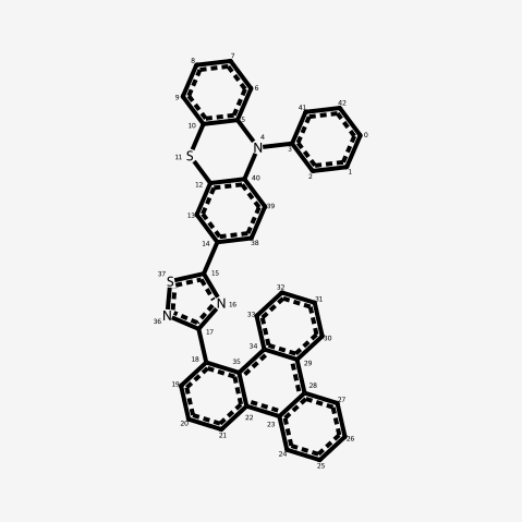 c1ccc(N2c3ccccc3Sc3cc(-c4nc(-c5cccc6c7ccccc7c7ccccc7c56)ns4)ccc32)cc1